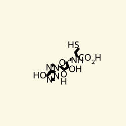 O=C(O)[C@H](CCS)NC[C@H]1O[C@@H](n2cnc3c(O)ncnc32)[C@H](O)[C@@H]1O